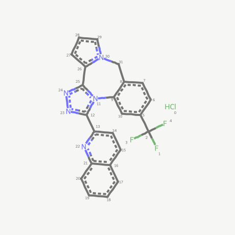 Cl.FC(F)(F)c1ccc2c(c1)-n1c(-c3ccc4ccccc4n3)nnc1-c1cccn1C2